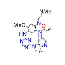 C=CC(=O)Nc1cc(Nc2ncnc(N3CC(C)(C)c4ncccc43)n2)c(OC)cc1N(C)CCNC